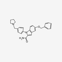 NC(=O)c1cc2cc(OCc3ccccc3)ccc2n1-c1ccc(CN2CCCC2)cc1